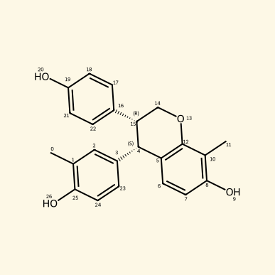 Cc1cc([C@H]2c3ccc(O)c(C)c3OC[C@H]2c2ccc(O)cc2)ccc1O